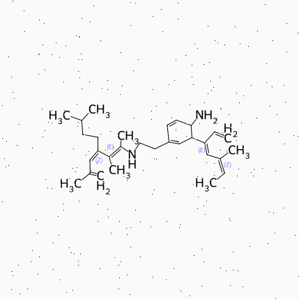 C=C/C(=C\C(C)=C/C)C1C=C(CCN/C(C)=C(C)/C(=C\C(=C)C)CCC(C)C)C=CC1N